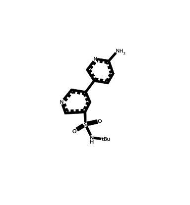 CC(C)(C)NS(=O)(=O)c1cncc(-c2ccc(N)nc2)c1